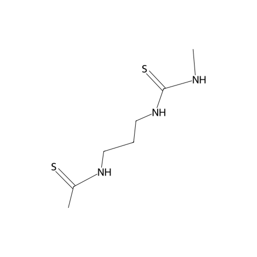 CNC(=S)NCCCNC(C)=S